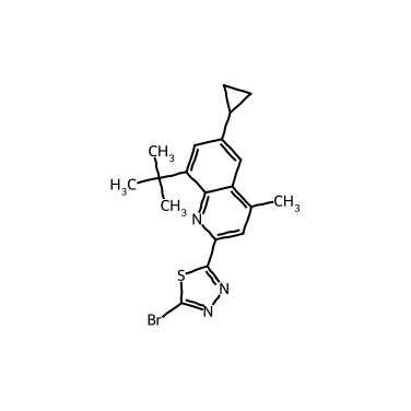 Cc1cc(-c2nnc(Br)s2)nc2c(C(C)(C)C)cc(C3CC3)cc12